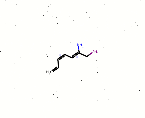 C=C/C=C\C=C(/N)CP